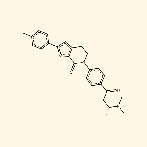 Cc1ccc(-c2cc3c(s2)C(=O)N(c2ccc(C(=N)C[C@@H](C)N(C)C)cc2)CC3)cc1